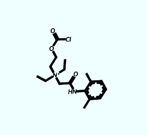 CC[N+](CC)(CCOC(=O)Cl)CC(=O)Nc1c(C)cccc1C